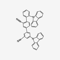 N#Cc1cc(-c2ccc(-c3ccccc3-n3c4ccccc4c4ccccc43)c(C#N)c2)cc(-n2c3ccccc3c3ccccc32)c1